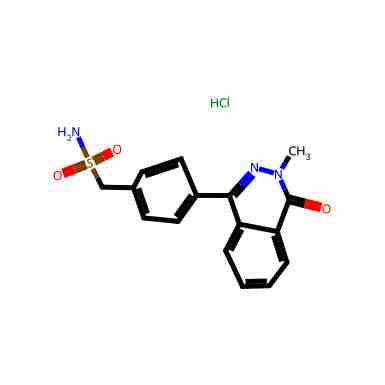 Cl.Cn1nc(-c2ccc(CS(N)(=O)=O)cc2)c2ccccc2c1=O